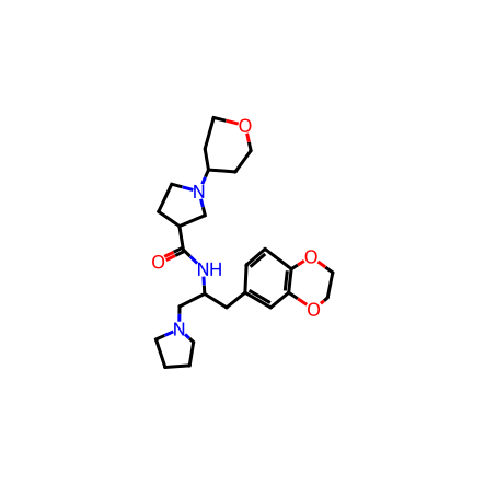 O=C(NC(Cc1ccc2c(c1)OCCO2)CN1CCCC1)C1CCN(C2CCOCC2)C1